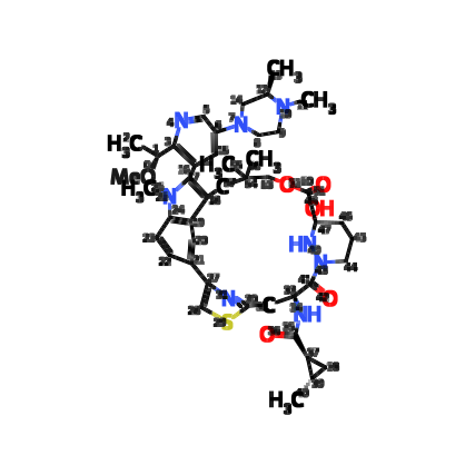 CO[C@@H](C)c1ncc(N2CCN(C)[C@H](C)C2)cc1-c1c2c3cc(ccc3n1C)-c1csc(n1)C[C@H](NC(=O)[C@H]1C[C@@H]1C)C(=O)N1CCC[C@@](O)(N1)C(=O)OCC(C)(C)C2